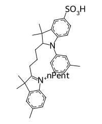 CCCCC[N+]1=C(CCCC2N(c3cccc(C)c3)c3ccc(S(=O)(=O)O)cc3C2(C)C)C(C)(C)c2cc(C)ccc21